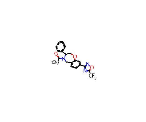 CC(C)(C)C(=O)N1Cc2ccc(-c3noc(C(F)(F)F)n3)cc2OCC1c1ccccc1